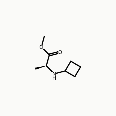 COC(=O)[C@H](C)NC1CCC1